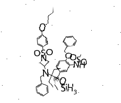 CCCCOc1ccc(S(=O)(=O)N2CC(N(Cc3ccccc3)C(CC)(CC)[C@](CC)(O[SiH3])c3ccc(OCc4ccccc4)c(NS(C)(=O)=O)c3)C2)cc1